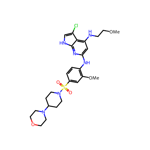 COCCNc1cc(Nc2ccc(S(=O)(=O)N3CCC(N4CCOCC4)CC3)cc2OC)nc2[nH]cc(Cl)c12